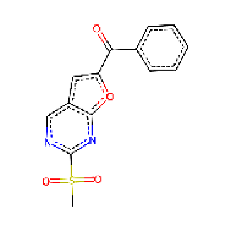 CS(=O)(=O)c1ncc2cc(C(=O)c3ccccc3)oc2n1